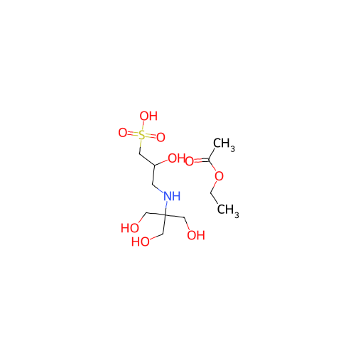 CCOC(C)=O.O=S(=O)(O)CC(O)CNC(CO)(CO)CO